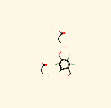 CCC(=O)O.CCC(=O)O.OCc1c(F)c(F)c(CO)c(F)c1F